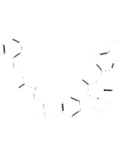 CC[C@@H](CCNC(=O)OCc1ccccc1)Oc1ccc(N2C(=S)N(c3cnc(C#N)c(C(F)(F)F)c3)C(=O)C23CCC3)cc1